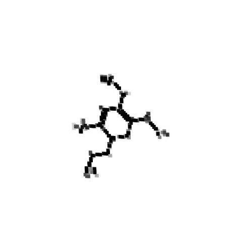 COC1=C(OC)CC(CCN)C(C)=C1